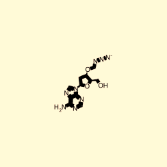 [N-]=[N+]=NCO[C@H]1C[C@H](n2cnc3c(N)ncnc32)O[C@@H]1CO